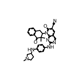 CN1CCC(Nc2ccc(Nc3ncc4cc(C#N)c(=O)n(C5Cc6ccccc6C(=O)C5(C)C)c4n3)cc2)C1